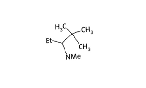 CCC(NC)C(C)(C)C